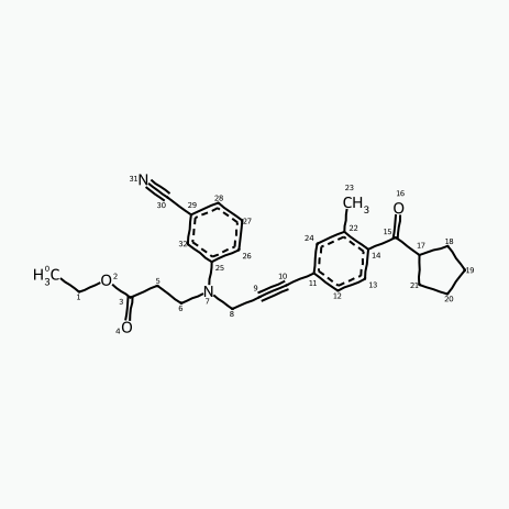 CCOC(=O)CCN(CC#Cc1ccc(C(=O)C2CCCC2)c(C)c1)c1cccc(C#N)c1